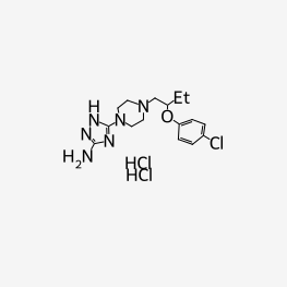 CCC(CN1CCN(c2nc(N)n[nH]2)CC1)Oc1ccc(Cl)cc1.Cl.Cl